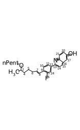 CCCCCOC(C)CCCC=Cc1ccc(-c2ccc3cc(O)ccc3n2)cc1F